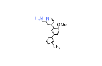 COc1ccc(-c2cccc(C(F)(F)F)c2)cc1-c1ccnc(CN)c1